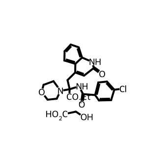 CCOC(=O)C(Cc1cc(=O)[nH]c2ccccc12)(NC(=O)c1ccc(Cl)cc1)N1CCOCC1.O=C(O)CO